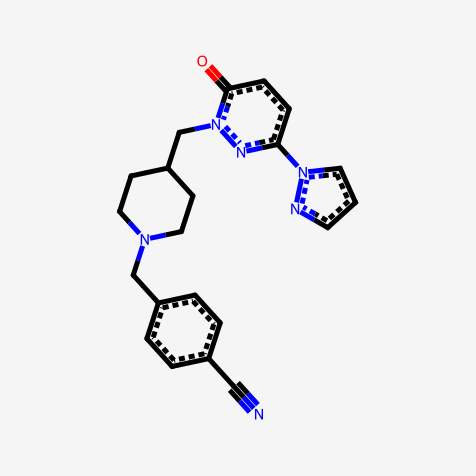 N#Cc1ccc(CN2CCC(Cn3nc(-n4cccn4)ccc3=O)CC2)cc1